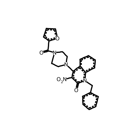 O=C(c1ccco1)N1CCN(c2c([N+](=O)[O-])c(=O)n(Cc3ccccc3)c3ccccc23)CC1